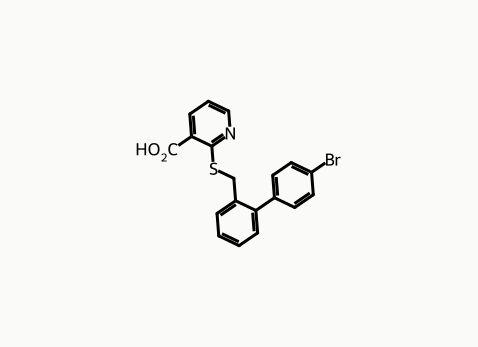 O=C(O)c1cccnc1SCc1ccccc1-c1ccc(Br)cc1